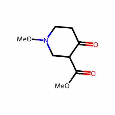 COC(=O)C1CN(OC)CCC1=O